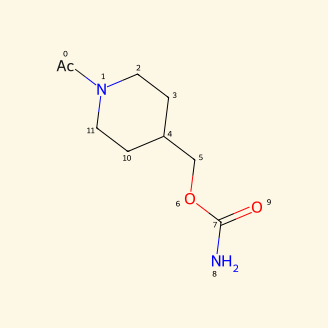 CC(=O)N1CCC(COC(N)=O)CC1